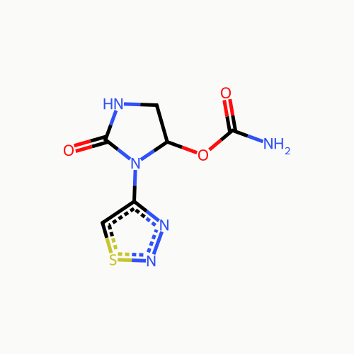 NC(=O)OC1CNC(=O)N1c1csnn1